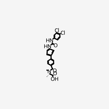 C[C@@H](C(=O)O)N(C)C(=O)c1ccc(-c2ccc(NC(=O)Nc3ccc(Cl)c(Cl)c3)cc2)cc1